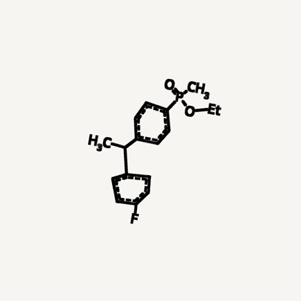 CCOP(C)(=O)c1ccc(C(C)c2ccc(F)cc2)cc1